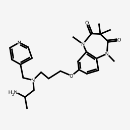 CC(N)CN(CCCOc1ccc2c(c1)N(C)C(=O)C(C)(C)C(=O)N2C)Cc1ccncc1